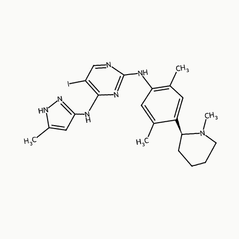 Cc1cc(Nc2nc(Nc3cc(C)c([C@@H]4CCCCN4C)cc3C)ncc2I)n[nH]1